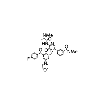 CNC(=O)c1cccc(-c2cnc(NC(=O)C(C)NC)c(=O)n2Cc2cc(C(=O)c3ccc(F)cc3)cc(N3CCOCC3)c2)c1